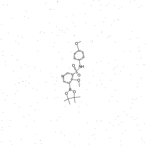 COc1ccc(NS(=O)(=O)c2cncc(B3OC(C)(C)C(C)(C)O3)c2OC)cc1